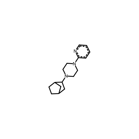 c1ccc(N2CCN(C3CC4CCC3C4)CC2)nc1